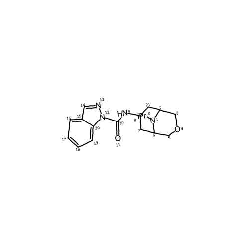 CC(C)N1C2COCC1CC(NC(=O)n1ncc3ccccc31)C2